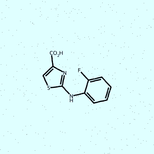 O=C(O)c1csc(Nc2ccccc2F)n1